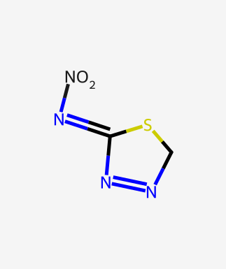 O=[N+]([O-])N=C1N=NCS1